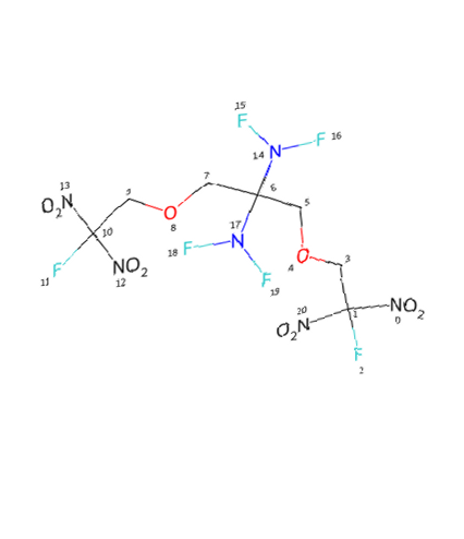 O=[N+]([O-])C(F)(COCC(COCC(F)([N+](=O)[O-])[N+](=O)[O-])(N(F)F)N(F)F)[N+](=O)[O-]